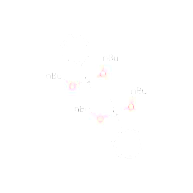 CCCCO[Si](CC[Si](OCCCC)(OCCCC)c1ccccc1)(OCCCC)c1ccccc1